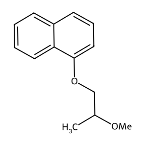 COC(C)COc1cccc2ccccc12